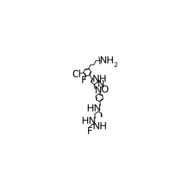 C=CC(CCNC(=N)CF)NCc1ccc(-n2cc3cc(-c4cc(CCCC(C)(C)N)cc(Cl)c4F)[nH]c3nc2=O)cc1